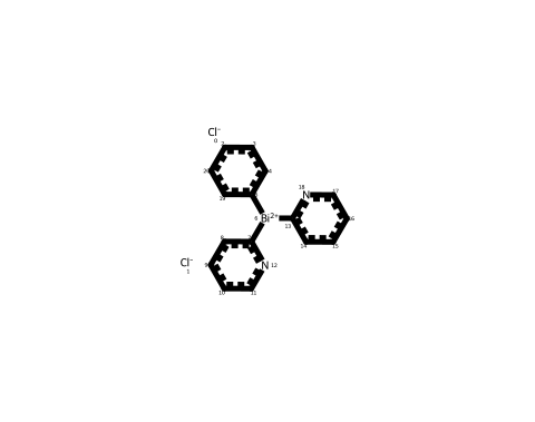 [Cl-].[Cl-].c1cc[c]([Bi+2]([c]2ccccn2)[c]2ccccn2)cc1